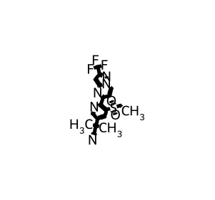 CCS(=O)(=O)c1cc(C(C)(C)C#N)cnc1-c1ccn2nc(C(F)(F)F)cc2n1